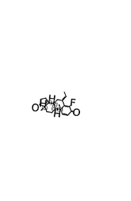 CC=C1C[C@@H]2[C@H](CC[C@]3(C)C(=O)CC[C@@H]23)[C@@]2(C)C=CC(=O)C(F)=C12